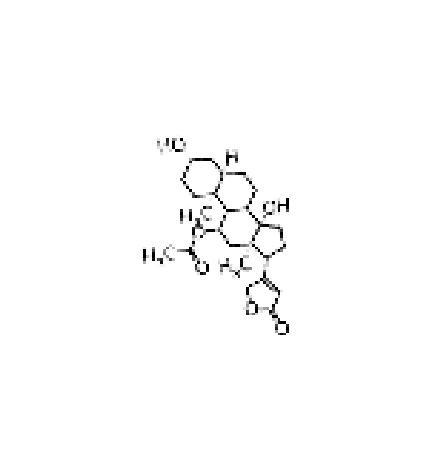 CC(=O)O[C@@H]1C[C@]2(C)C(C3=CC(=O)OC3)CC[C@]2(O)C2CC[C@@H]3C[C@@H](O)CC[C@]3(C)C21